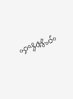 O=C(COc1ccc(Cl)c(F)c1)Nc1cnc(NC(=O)COc2ccc(Cl)c(F)c2)nc1